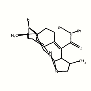 CC1CN2NC[C@H](C)[C@@H]3C=CCC4=C5CC2C1C(C(=O)N(C(C)C)C(C)C)=C5CCC43